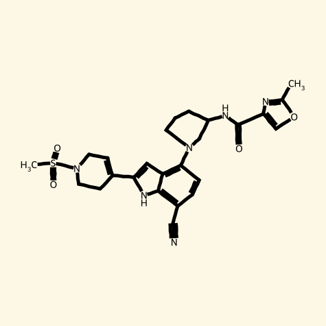 Cc1nc(C(=O)NC2CCCN(c3ccc(C#N)c4[nH]c(C5=CCN(S(C)(=O)=O)CC5)cc34)C2)co1